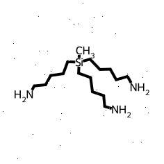 C[Si](CCCCCN)(CCCCCN)CCCCCN